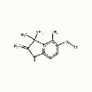 C=C1Nc2ccc(OCC)c(C)c2C1(C)C